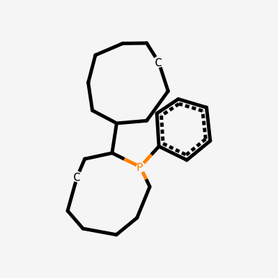 c1ccc(P2CCCCCCCC2C2CCCCCCCC2)cc1